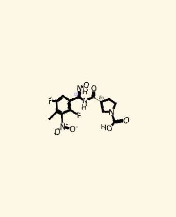 Cc1c(F)cc(/C(=N/O)NC(=O)[C@@H]2CCN(C(=O)O)C2)c(F)c1[N+](=O)[O-]